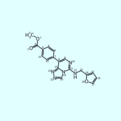 COC(=O)c1ccc(-c2cnc(NCc3ccco3)n3cnnc23)cc1